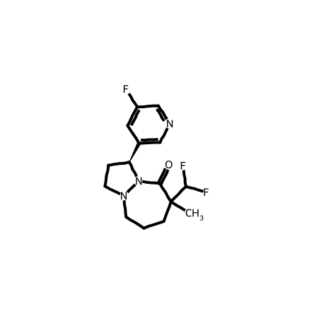 CC1(C(F)F)CCCN2CC[C@@H](c3cncc(F)c3)N2C1=O